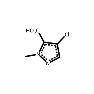 Cn1ncc(Cl)c1C(=O)O